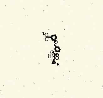 C=C[C@@H]1C[C@]1(C)C(=O)NS(=O)(=O)c1cccc(COc2cccc(C(=O)OCC)c2)c1